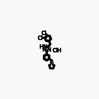 Cl.Clc1ccc(Cc2nc(-c3cccc(CN4CCCC4)c3)n[nH]2)cc1Cl